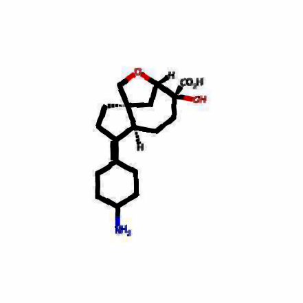 NC1CCC(=C2CC[C@]34CO[C@@H](C3)[C@@](O)(C(=O)O)CC[C@@H]24)CC1